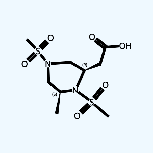 C[C@H]1CN(S(C)(=O)=O)C[C@@H](CC(=O)O)N1S(C)(=O)=O